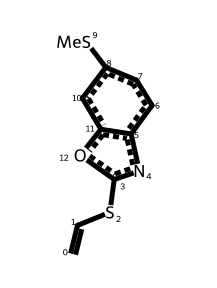 C=CSc1nc2ccc(SC)cc2o1